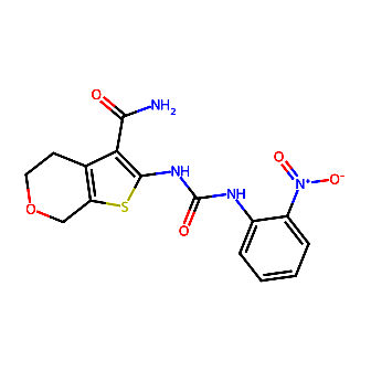 NC(=O)c1c(NC(=O)Nc2ccccc2[N+](=O)[O-])sc2c1CCOC2